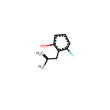 C=C(C)Cc1c(O)cccc1F